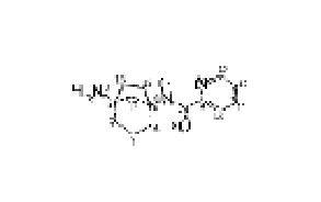 NC12CCCC(NC(=O)c3ccccn3)(CC1)C2